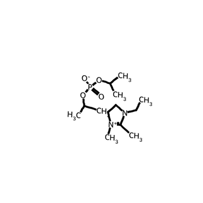 CC(C)OP(=O)([O-])OC(C)C.CCN1CC[N+](C)=C1C